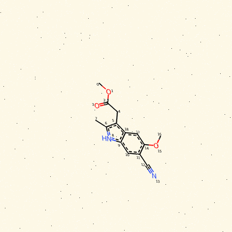 COC(=O)Cc1c(C)[nH]c2cc(C#N)c(OC)cc12